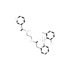 O=C(Cc1ccccc1Nc1c(Cl)cccc1Cl)NCCNC(=O)c1cccnc1